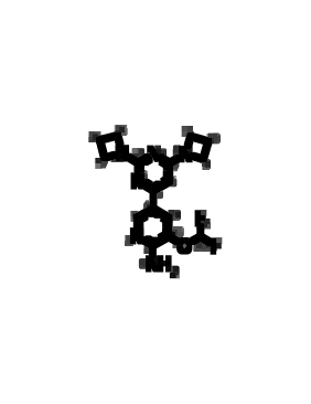 Nc1ncc(-c2cc(N3CCC3)nc(N3CCC3)n2)cc1OC(F)F